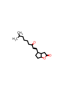 CC(C)CCCCC(=O)/C=C/C1CCC2OC(=O)CC12